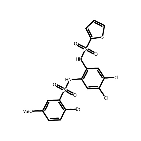 CCc1ccc(OC)cc1S(=O)(=O)Nc1cc(Cl)c(Cl)cc1NS(=O)(=O)c1cccs1